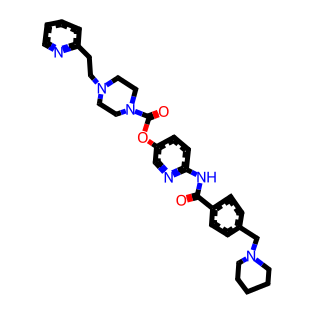 O=C(Nc1ccc(OC(=O)N2CCN(CCc3ccccn3)CC2)cn1)c1ccc(CN2CCCCC2)cc1